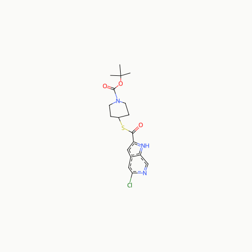 CC(C)(C)OC(=O)N1CCC(SC(=O)c2cc3cc(Cl)ncc3[nH]2)CC1